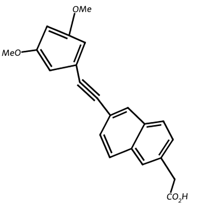 COc1cc(C#Cc2ccc3cc(CC(=O)O)ccc3c2)cc(OC)c1